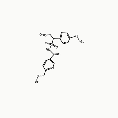 CCCCOc1ccc(C(CC=O)S(=O)(=O)NC(=O)c2ccc(COCC)nc2)cc1